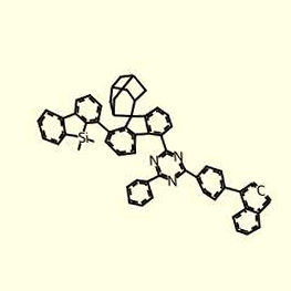 C[Si]1(C)c2ccccc2-c2cccc(-c3cccc4c3C3(c5cccc(-c6nc(-c7ccccc7)nc(-c7ccc(-c8cccc9ccccc89)cc7)n6)c5-4)C4CC5CC(C4)CC3C5)c21